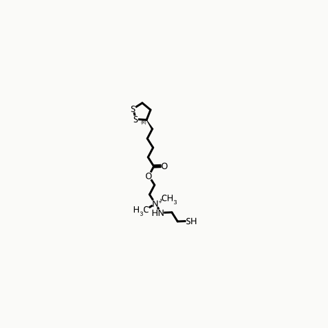 C[N+](C)(CCOC(=O)CCCC[C@@H]1CCSS1)NCCS